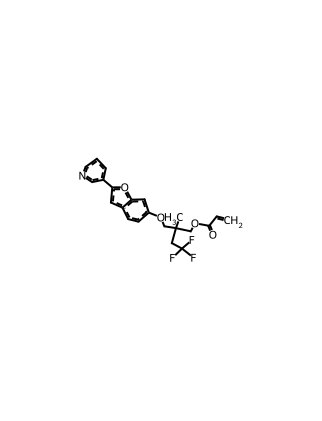 C=CC(=O)OCC(C)(COc1ccc2cc(-c3cccnc3)oc2c1)CC(F)(F)F